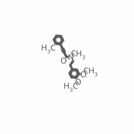 COc1ccc(CCN(C)C(=O)C#Cc2ccccc2C)cc1OC